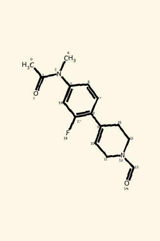 CC(=O)N(C)c1ccc(C2=CCN(C=O)CC2)c(F)c1